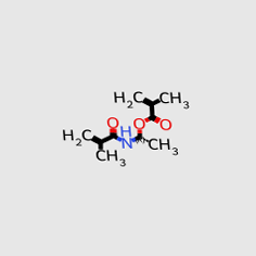 C=C(C)C(=O)N[C@@H](C)OC(=O)C(=C)C